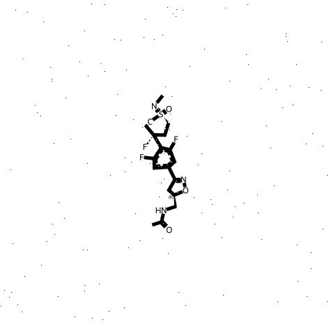 CN=[S@]1(=O)CC[C@@](F)(c2c(F)cc(C3=NO[C@@H](CNC(C)=O)C3)cc2F)CC1